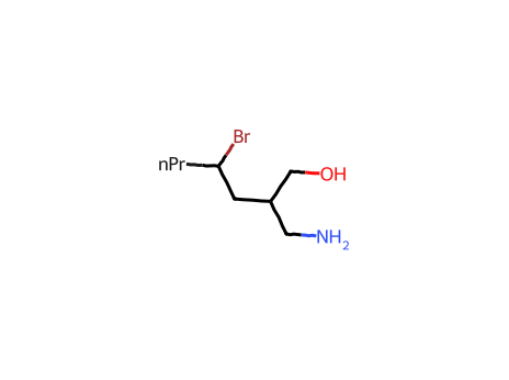 CCCC(Br)CC(CN)CO